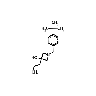 CCCC1(O)CN(Cc2ccc(C(C)(C)C)cc2)C1